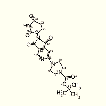 CC(C)(C)OC(=O)N1CCN(c2cc3c(cn2)C(=O)N(C2CCC(=O)NC2=O)C3=O)CC1